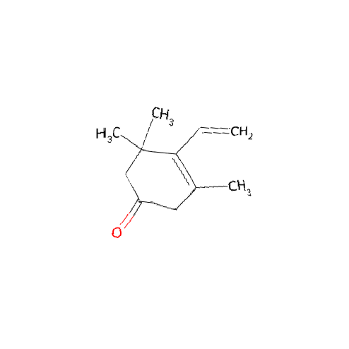 C=CC1=C(C)CC(=O)CC1(C)C